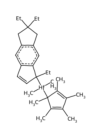 CCC1(CC)Cc2cc3c(cc2C1)[C](CC)([Hf]([CH3])([CH3])[C]1(C)C(C)=C(C)C(C)=C1C)C=C3